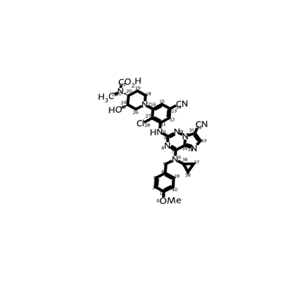 COc1ccc(CN(c2nc(Nc3cc(C#N)cc(N4CC[C@@H](N(C)C(=O)O)[C@H](O)C4)c3Cl)nn3c(C#N)cnc23)C2CC2)cc1